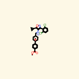 COC(=O)c1ccc(C23CCC(CNc4c(-c5c(Cl)cccc5Cl)noc4C4CC4)(CC2)CO3)cc1